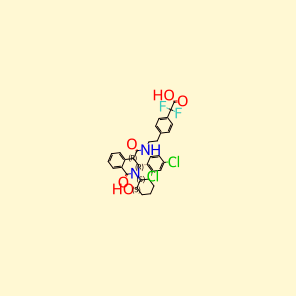 O=C(NCCc1ccc(C(F)(F)C(=O)O)cc1)[C@@H]1c2ccccc2C(=O)N([C@H]2CCCC[C@@H]2O)[C@H]1c1ccc(Cl)cc1Cl